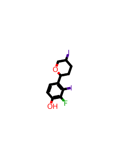 Oc1ccc(C2CCC(I)CO2)c(I)c1F